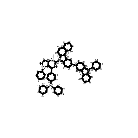 C1=NN(c2ccccc2)C2=C(c3ccc(N(c4ccccc4)c4ccccc4)cc3)N=C(n3c4ccc(-c5ccc6c(c5)c5ccccc5n6-c5ccccc5)cc4c4c5ccccc5ccc43)NC12